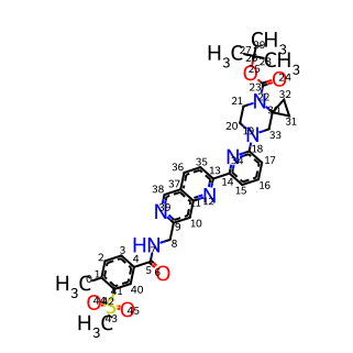 Cc1ccc(C(=O)NCc2cc3nc(-c4cccc(N5CCN(C(=O)OC(C)(C)C)C6(CC6)C5)n4)ccc3cn2)cc1S(C)(=O)=O